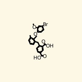 COc1cc(Br)ccc1OCc1c(C)cccc1Cc1ccc(C(=O)O)cc1C(=O)O